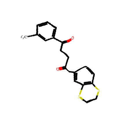 O=C(CCC(=O)c1ccc2c(c1)SCCS2)c1cccc(C(F)(F)F)c1